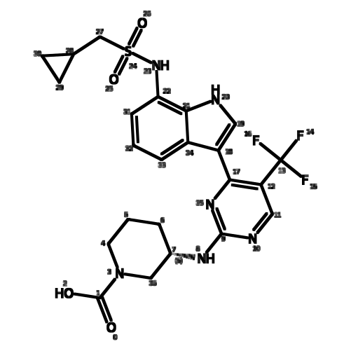 O=C(O)N1CCC[C@H](Nc2ncc(C(F)(F)F)c(-c3c[nH]c4c(NS(=O)(=O)CC5CC5)cccc34)n2)C1